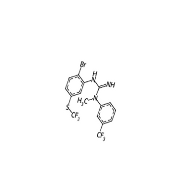 CN(C(=N)Nc1cc(SC(F)(F)F)ccc1Br)c1cccc(C(F)(F)F)c1